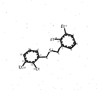 CCc1cccc(CSCc2cccc(CC)c2CC)c1CC